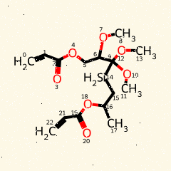 C=CC(=O)OCC(OC)C(OC)(OC)[SiH2]CC(C)OC(=O)C=C